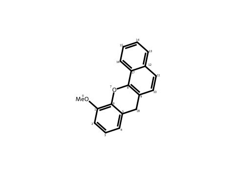 COc1cccc2c1Oc1c(ccc3ccccc13)C2